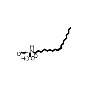 CCCCCCCC/C=C\CCCCCCCC(=O)N[C@@H](CCC=O)C(=O)O